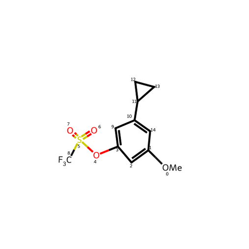 COc1cc(OS(=O)(=O)C(F)(F)F)cc(C2CC2)c1